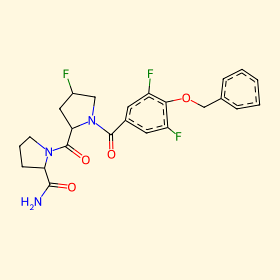 NC(=O)C1CCCN1C(=O)C1CC(F)CN1C(=O)c1cc(F)c(OCc2ccccc2)c(F)c1